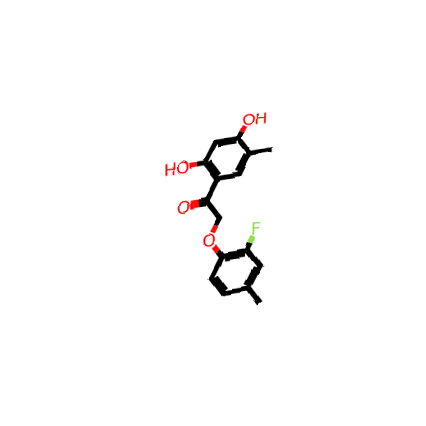 Cc1ccc(OCC(=O)c2cc(C)c(O)cc2O)c(F)c1